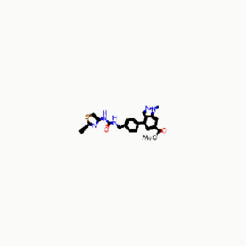 C#Cc1nc(NC(=O)NCc2ccc(-c3cc(C(=O)OC)cc4c3cnn4C)cc2)cs1